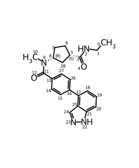 CCNC(=O)[C@H]1CC[C@@H](N(C)C(=O)c2ccc(-c3cccc4[nH]ncc34)cc2)C1